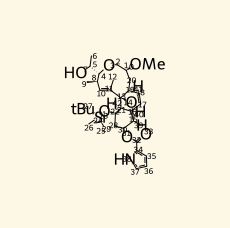 CO[C@@H]1CO[C@@H](C(C)O)[C@H](C)/C=C(\C)[C@]23O[C@@H]4[C@H](C=C[C@@H]2C1)[C@H]3[C@H](O[Si](C)(C)C(C)(C)C)[C@@H](C)[C@H]4OC(=O)c1ccc[nH]1